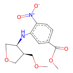 COC[C@H]1COC[C@H]1Nc1cc(C(=O)OC)ccc1[N+](=O)[O-]